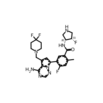 Cc1cc(F)c(-c2cc(CN3CCC(F)(F)CC3)c3c(N)ncnn23)cc1C(=O)N[C@@H]1CNC[C@@H]1F